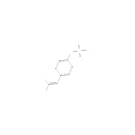 CC(C)(C)[Si](C)(C)Oc1ccc(C=C(Br)Br)cc1